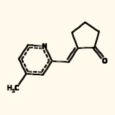 Cc1ccnc(/C=C2\CCCC2=O)c1